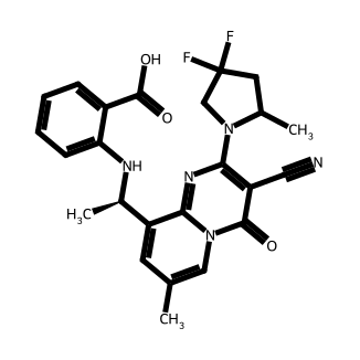 Cc1cc([C@@H](C)Nc2ccccc2C(=O)O)c2nc(N3CC(F)(F)CC3C)c(C#N)c(=O)n2c1